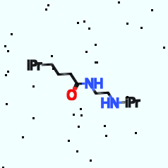 CC(C)CCCC(=O)NCCNC(C)C